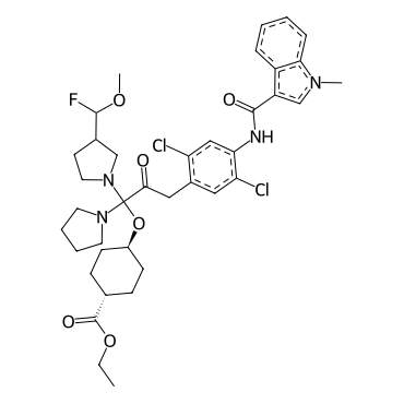 CCOC(=O)[C@H]1CC[C@H](OC(C(=O)Cc2cc(Cl)c(NC(=O)c3cn(C)c4ccccc34)cc2Cl)(N2CCCC2)N2CCC(C(F)OC)C2)CC1